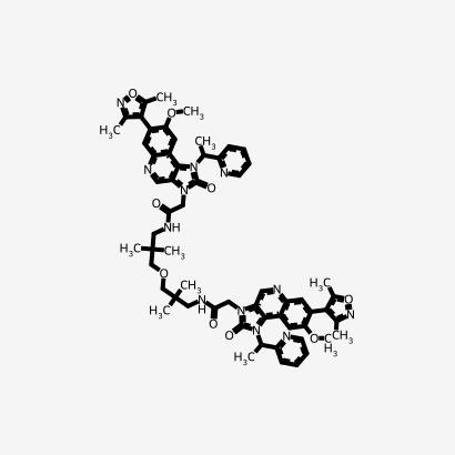 COc1cc2c(cc1-c1c(C)noc1C)ncc1c2n(C(C)c2ccccn2)c(=O)n1CC(=O)NCC(C)(C)COCC(C)(C)CNC(=O)Cn1c(=O)n(C(C)c2ccccn2)c2c3cc(OC)c(-c4c(C)noc4C)cc3ncc21